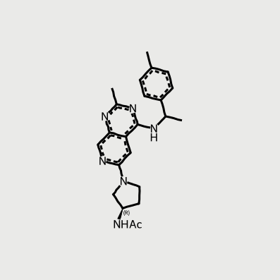 CC(=O)N[C@@H]1CCN(c2cc3c(NC(C)c4ccc(C)cc4)nc(C)nc3cn2)C1